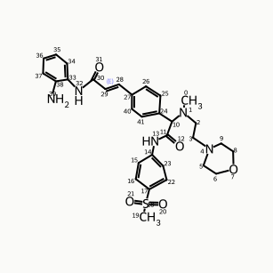 CN(CCN1CCOCC1)C(C(=O)Nc1ccc(S(C)(=O)=O)cc1)c1ccc(/C=C/C(=O)Nc2ccccc2N)cc1